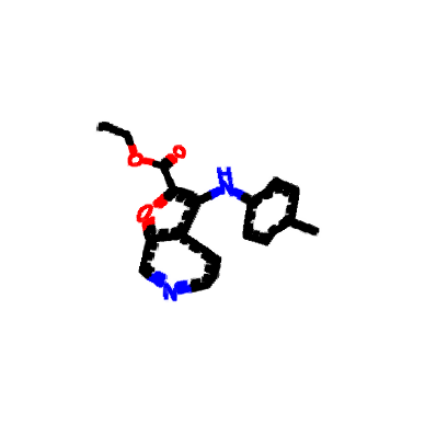 CCOC(=O)c1oc2cnccc2c1Nc1ccc(C)cc1